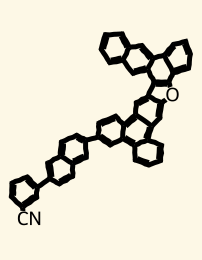 N#Cc1cccc(-c2ccc3cc(-c4ccc5c(c4)c4ccccc4c4cc6oc7c8ccccc8c8cc9ccccc9cc8c7c6cc54)ccc3c2)c1